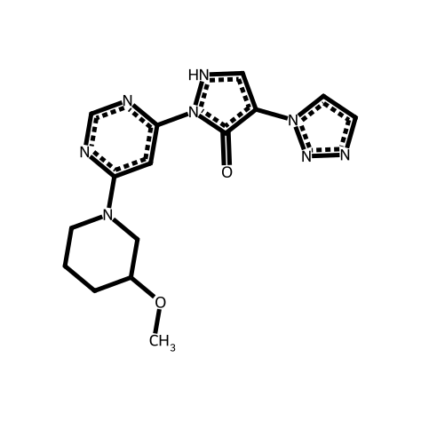 COC1CCCN(c2cc(-n3[nH]cc(-n4ccnn4)c3=O)ncn2)C1